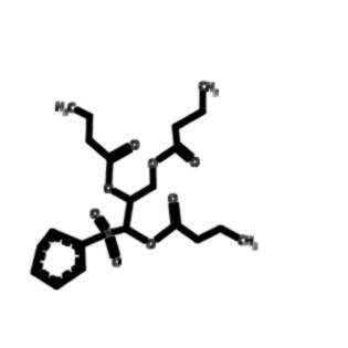 CCCC(=O)OCC(OC(=O)CCC)C(OC(=O)CCC)S(=O)(=O)c1ccccc1